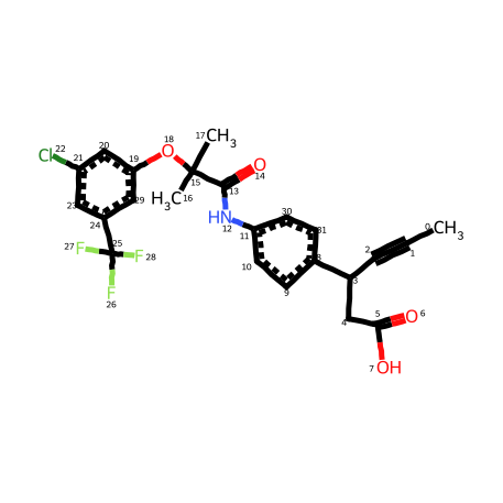 CC#CC(CC(=O)O)c1ccc(NC(=O)C(C)(C)Oc2cc(Cl)cc(C(F)(F)F)c2)cc1